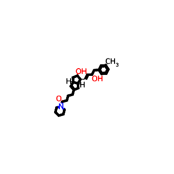 Cc1cccc(C[C@@H](O)/C=C/[C@@H]2[C@H]3CC(CCCC(=O)N4CCCCC4)=C[C@H]3C[C@H]2O)c1